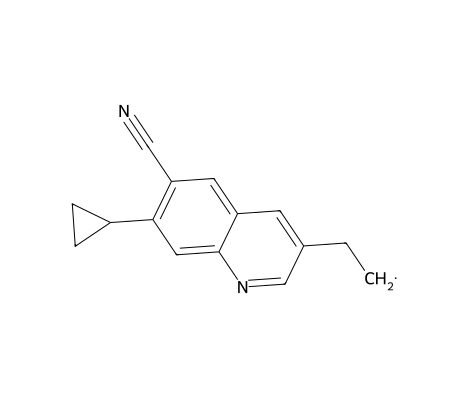 [CH2]Cc1cnc2cc(C3CC3)c(C#N)cc2c1